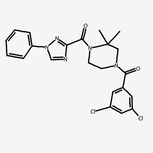 CC1(C)CN(C(=O)c2cc(Cl)cc(Cl)c2)CCN1C(=O)c1ncn(-c2ccccc2)n1